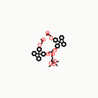 CCO[Si](CCCOC(COc1ccc(C2(c3ccc(OCC4CO4)cc3)c3ccccc3-c3ccccc32)cc1)COc1ccc(C2(c3ccc(OCC4CO4)cc3)c3ccccc3-c3ccccc32)cc1)(OCC)OCC